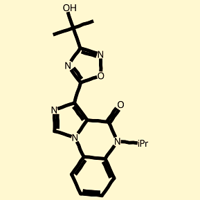 CC(C)n1c(=O)c2c(-c3nc(C(C)(C)O)no3)ncn2c2ccccc21